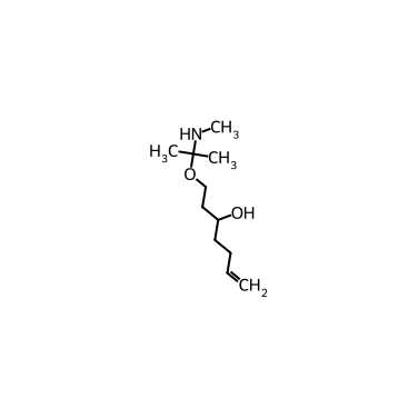 C=CCCC(O)CCOC(C)(C)NC